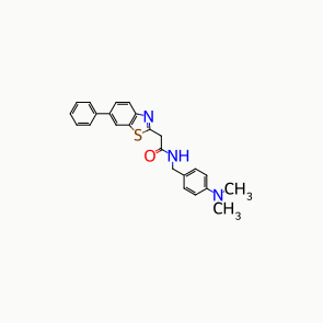 CN(C)c1ccc(CNC(=O)Cc2nc3ccc(-c4ccccc4)cc3s2)cc1